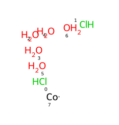 Cl.Cl.O.O.O.O.O.[Co]